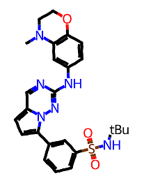 CN1CCOc2ccc(Nc3ncc4ccc(-c5cccc(S(=O)(=O)NC(C)(C)C)c5)n4n3)cc21